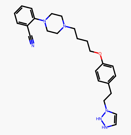 N#Cc1ccccc1N1CCN(CCCCOc2ccc(CCN3C=CNN3)cc2)CC1